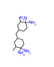 CC1CC(CC2CCC(N)(N)C(C)C2)CCC1(N)N